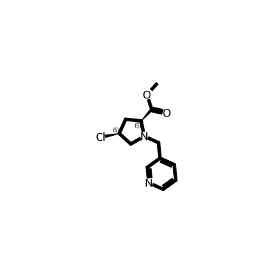 COC(=O)[C@@H]1C[C@H](Cl)CN1Cc1cccnc1